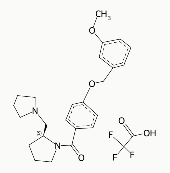 COc1cccc(COc2ccc(C(=O)N3CCC[C@H]3CN3CCCC3)cc2)c1.O=C(O)C(F)(F)F